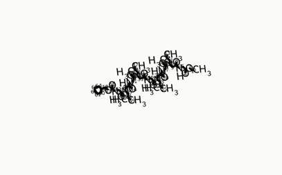 CCOC(=O)CNC(=O)CN(CC(C)C)C(=O)CNC(=O)CN(CC(C)C)C(=O)CNC(=O)CN(CC(C)C)C(=O)CNC(=O)CN(CC(C)C)C(=O)CNC(=O)OCc1ccccc1